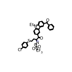 CCn1c2ccc(C(=O)/C(CCSc3ccc(Cl)cc3)=N/OS(=O)(=O)C(F)(F)F)cc2c2cc(C(=O)c3ccccc3)ccc21